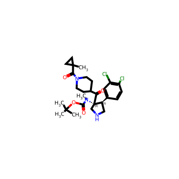 CN(C(=O)OC(C)(C)C)[C@@]1(C(=O)C2CCN(C(=O)C3(C)CC3)CC2)CNC[C@@H]1c1ccc(Cl)c(Cl)c1